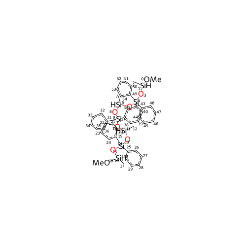 CO[SiH](C)O[Si](O[SiH](C)O[Si](O[SiH](C)O[Si](O[SiH](C)OC)(c1ccccc1)c1ccccc1)(c1ccccc1)c1ccccc1)(c1ccccc1)c1ccccc1